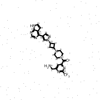 NCc1cc(C(=O)N2CCN(C3CC(n4cc(-c5ncnc6[nH]ccc56)cn4)C3)CC2)nc(C(F)(F)F)n1